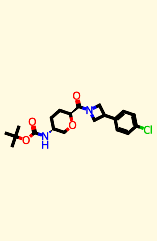 CC(C)(C)OC(=O)N[C@@H]1CC[C@@H](C(=O)N2CC(c3ccc(Cl)cc3)C2)OC1